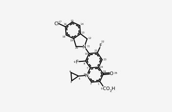 O=C(O)c1cn(C2CC2)c2c(F)c(N3Cc4ccc(Cl)cc4C3)c(F)cc2c1=O